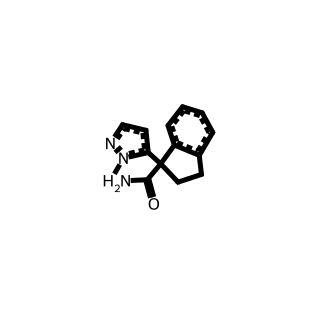 Cn1nccc1C1(C(N)=O)CCc2ccccc21